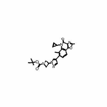 Cc1nc2c(=O)n(C3CC3)c3c(C)c(-c4cnn(C5CN(C(=O)OC(C)(C)C)C5)c4)ccc3c2o1